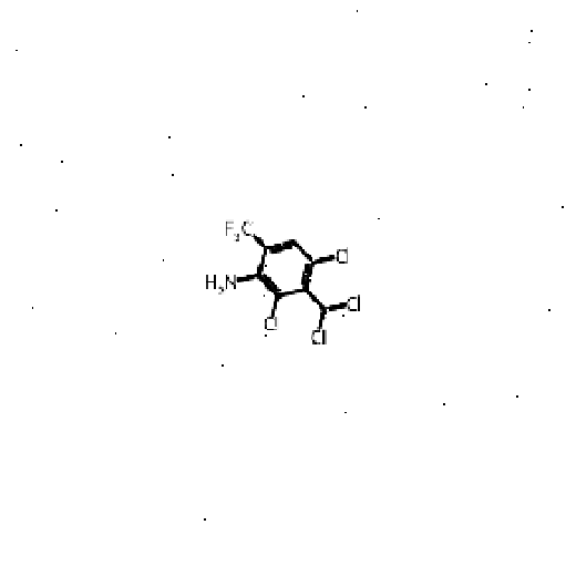 Nc1c(C(F)(F)F)cc(Cl)c(C(Cl)Cl)c1Cl